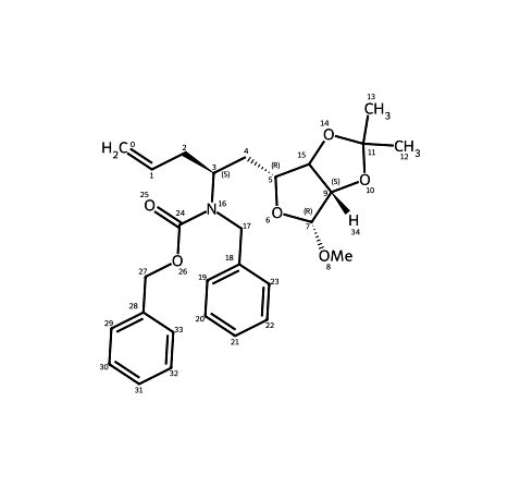 C=CC[C@@H](C[C@H]1O[C@@H](OC)[C@H]2OC(C)(C)OC12)N(Cc1ccccc1)C(=O)OCc1ccccc1